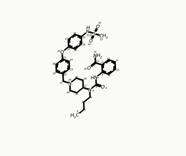 CCCCN(C(=O)Nc1ccccc1C(N)=O)C1CCN(Cc2ccc(Oc3ccc(NS(C)(=O)=O)cc3)cc2)CC1